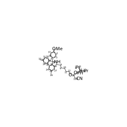 COc1ccc(C(NCCCCCCOC(CC#N)OPN(C(C)C)C(C)C)(c2ccc(C)cc2)c2ccc(C)cc2)cc1